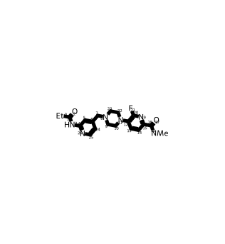 CCC(=O)Nc1cc(CN2CCN(c3ccc(C(=O)NC)nc3F)CC2)ccn1